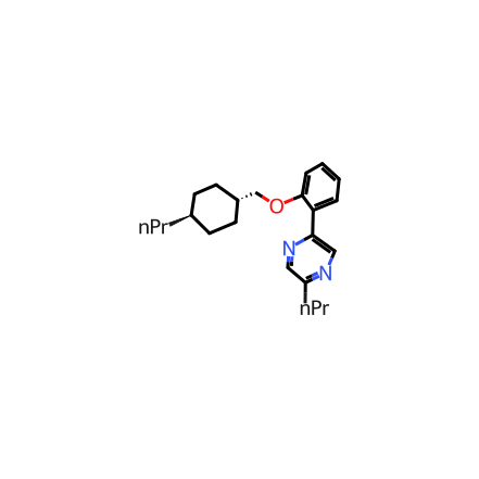 CCCc1cnc(-c2ccccc2OC[C@H]2CC[C@H](CCC)CC2)cn1